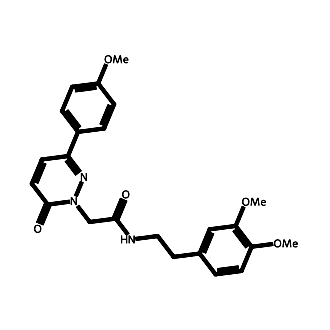 COc1ccc(-c2ccc(=O)n(CC(=O)NCCc3ccc(OC)c(OC)c3)n2)cc1